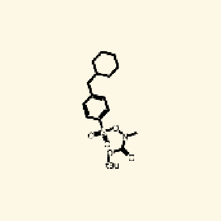 CN(OS(=O)(=O)c1ccc(CC2CCCCC2)cc1)C(=O)OC(C)(C)C